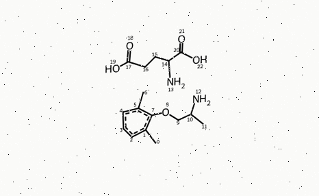 Cc1cccc(C)c1OCC(C)N.NC(CCC(=O)O)C(=O)O